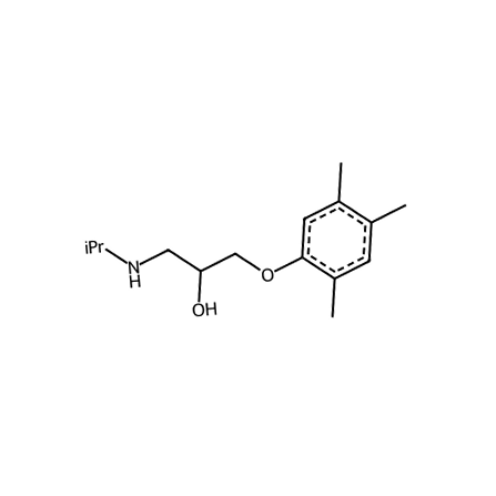 Cc1cc(C)c(OCC(O)CNC(C)C)cc1C